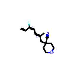 C=C/C(F)=C\C=C(/C)CC1(C#N)CCNCC1